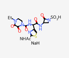 CCN1CCN(C(=O)NC(C(=O)NC2CN(S(=O)(=O)O)C2=O)c2csc(NC(C)=O)n2)C(=O)C1=O.[NaH]